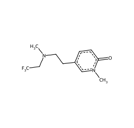 CN(CCc1ccc(=O)n(C)c1)CC(F)(F)F